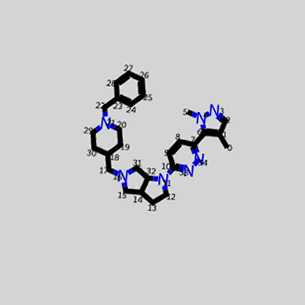 Cc1cnn(C)c1-c1ccc(N2CCC3CN(CC4CCN(Cc5ccccc5)CC4)CC32)nn1